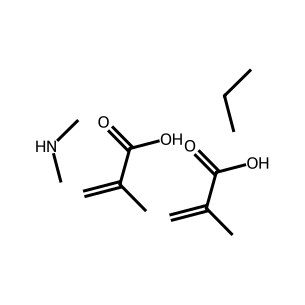 C=C(C)C(=O)O.C=C(C)C(=O)O.CCC.CNC